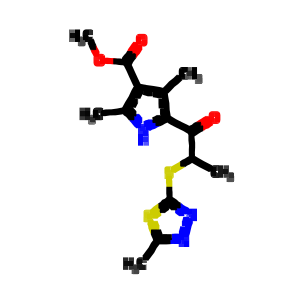 COC(=O)c1c(C)[nH]c(C(=O)C(C)Sc2nnc(C)s2)c1C